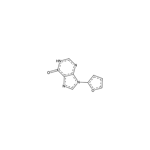 O=c1[nH]cnc2c1ncn2-c1ccco1